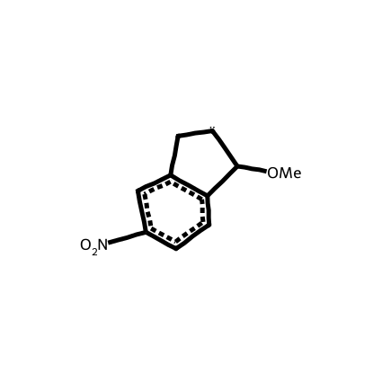 COC1[C]Cc2cc([N+](=O)[O-])ccc21